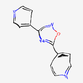 c1cc(-c2noc(-c3ccncc3)n2)ccn1